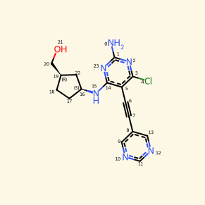 Nc1nc(Cl)c(C#Cc2cncnc2)c(N[C@H]2CC[C@@H](CO)C2)n1